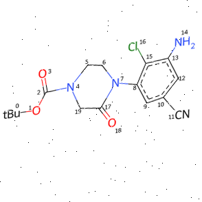 CC(C)(C)OC(=O)N1CCN(c2cc(C#N)cc(N)c2Cl)C(=O)C1